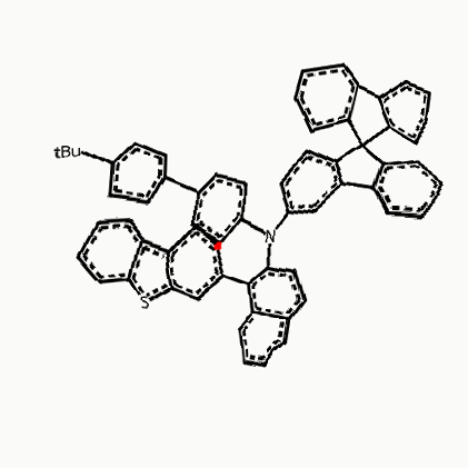 CC(C)(C)c1ccc(-c2ccc(N(c3ccc4c(c3)-c3ccccc3C43c4ccccc4-c4ccccc43)c3ccc4ccccc4c3-c3ccc4c(c3)sc3ccccc34)cc2)cc1